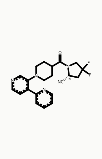 N#C[C@H]1CC(F)(F)CN1C(=O)C1CCN(c2cnccc2-c2ccccn2)CC1